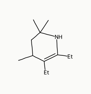 CCC1=C(CC)C(C)CC(C)(C)N1